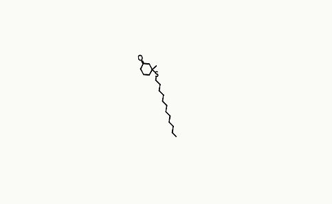 CCCCCCCCCCCCSC1(C)CCCC(=O)C1